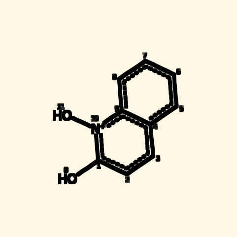 Oc1ccc2ccccc2[n+]1O